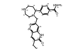 CCc1cc2nnc(CN3CCNCCC3c3ccc(C(=O)NC)nc3)cc2[nH]c1=O